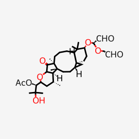 CC(=O)O[C@@H](C1C[C@@H](C)[C@H]2C(O1)C(=O)[C@@]1(C)CCC[C@H]3C(C)(C)[C@@H](O[C@@H](C=O)OCC=O)CC[C@@]34C[C@@H]4CC[C@]21C)C(C)(C)O